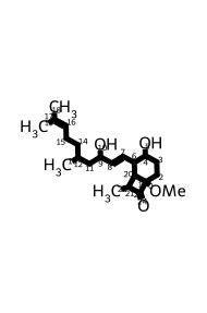 COC12CCC(O)C(C=CC(O)CC(C)CCC=C(C)C)C1C(C)C2=O